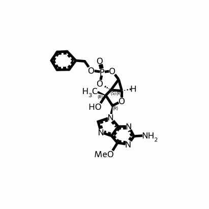 COc1nc(N)nc2c1ncn2[C@@H]1O[C@@H]2C3OP(=O)(OCc4ccccc4)O[C@]32[C@@]1(C)O